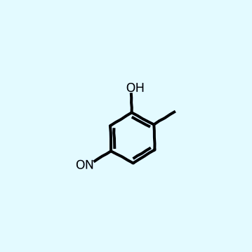 Cc1ccc(N=O)cc1O